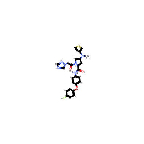 CN(c1ccsc1)C1CC(C(=O)Nc2ccc(Oc3ccc(F)cc3)cc2)N(C(=O)Cn2cncn2)C1